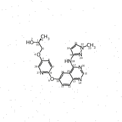 C[C@H](O)COc1ccc(Oc2ccc3ncnc(Nc4ccn(C)n4)c3c2)nc1